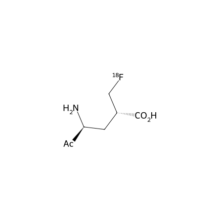 CC(=O)[C@@H](N)C[C@H](C[18F])C(=O)O